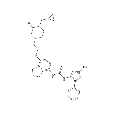 CC(C)(C)c1cc(NC(=O)Nc2ccc(OCCN3CCN(CC4CC4)C(=O)C3)c3c2CCC3)n(-c2ccccc2)n1